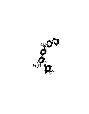 CC(C)c1ccc(COc2cc(-c3ccc(C(=O)N4CCC(N5CCCC5)CC4)cc3)cnc2N)cc1